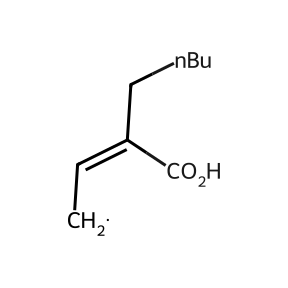 [CH2]/C=C(/CCCCC)C(=O)O